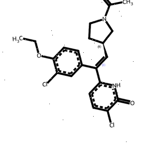 CCOc1ccc(/C(=C\[C@H]2CCN(C(C)=O)C2)c2ccc(Cl)c(=O)[nH]2)cc1Cl